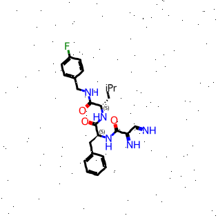 CC(C)C[C@H](NC(=O)[C@H](Cc1ccccc1)NC(=O)C(=N)C=N)C(=O)NCc1ccc(F)cc1